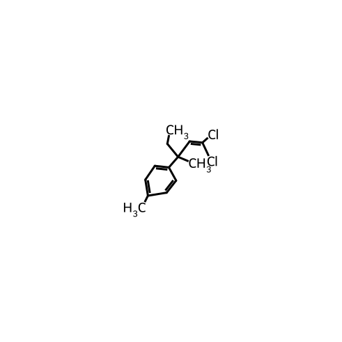 CCC(C)(C=C(Cl)Cl)c1ccc(C)cc1